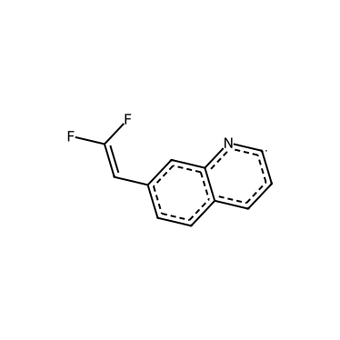 FC(F)=Cc1ccc2cc[c]nc2c1